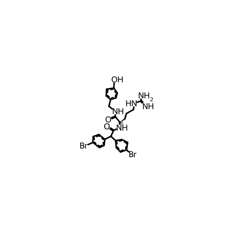 N=C(N)NCCC[C@@H](NC(=O)C(c1ccc(Br)cc1)c1ccc(Br)cc1)C(=O)NCc1ccc(O)cc1